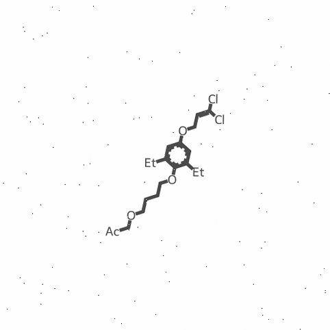 CCc1cc(OCC=C(Cl)Cl)cc(CC)c1OCCCCOCC(C)=O